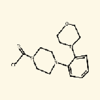 O=C(Cl)N1CCN(c2ccccc2N2CCOCC2)CC1